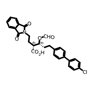 O=CO[C@H](CCc1ccc(-c2ccc(Cl)cc2)cc1)[C@@H](CCN1C(=O)c2ccccc2C1=O)C(=O)O